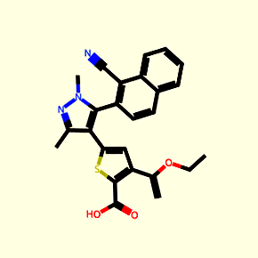 C=C(OCC)c1cc(-c2c(C)nn(C)c2-c2ccc3ccccc3c2C#N)sc1C(=O)O